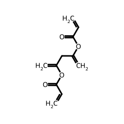 C=CC(=O)OC(=C)CC(=C)OC(=O)C=C